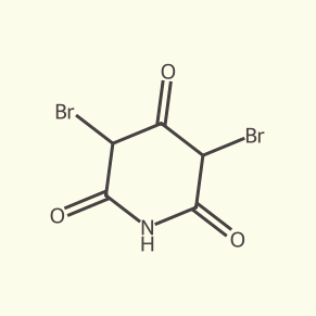 O=C1NC(=O)C(Br)C(=O)C1Br